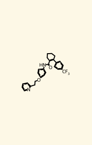 O=C(Nc1ccc(OCCc2ccccn2)cc1)C1=C(c2ccc(C(F)(F)F)cc2)CCCC1